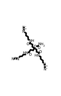 [N-]=[N+]=NCCCCNC(=O)CCC(CCC(=O)NCCCCN=[N+]=[N-])(CCC(=O)NCCCCN=[N+]=[N-])OC(N)=O